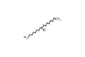 CCCCCCCCP(Cl)CCCCCCCC